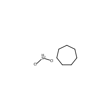 C1CCCCCC1.Cl[SiH2]Cl